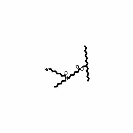 CCCCCCCCC(CCCCCC)COC(=O)CCCCCN(CCCCCC)C(=O)CCCCCCBr